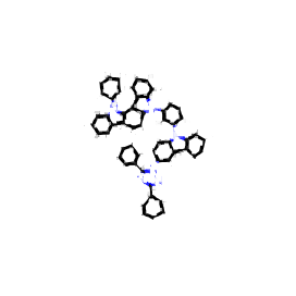 c1ccc(-c2nc(-c3ccccc3)n(-c3ccc4c(c3)c3ccccc3n4-c3cccc(-n4c5ccccc5c5c4ccc4c6ccccc6n(-c6ccccc6)c45)c3)n2)cc1